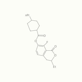 CCCC1CCC(C(=O)Oc2ccc3c(c2F)C(=O)OC(CC)C3)CC1